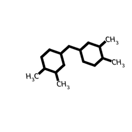 CC1CCC(CC2CCC(C)C(C)C2)CC1C